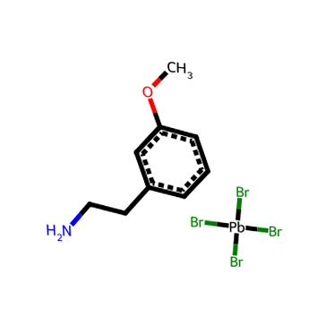 COc1cccc(CCN)c1.[Br][Pb]([Br])([Br])[Br]